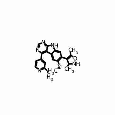 COc1cc2c(cc1C1=C(C)ONC1C)[nH]c1ncnc(-c3ccnc(C)c3)c12